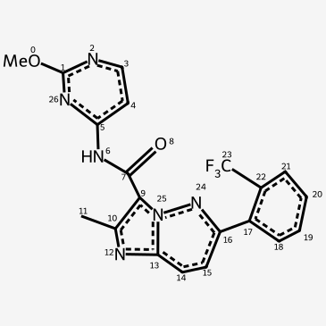 COc1nccc(NC(=O)c2c(C)nc3ccc(-c4ccccc4C(F)(F)F)nn23)n1